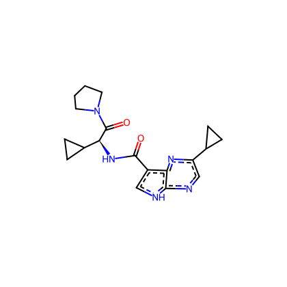 O=C(N[C@H](C(=O)N1CCCC1)C1CC1)c1c[nH]c2ncc(C3CC3)nc12